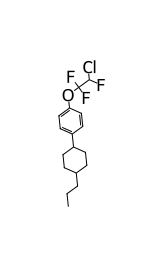 CCCC1CCC(c2ccc(OC(F)(F)C(F)Cl)cc2)CC1